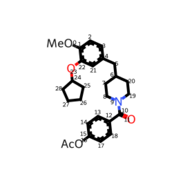 COc1ccc(CC2CCN(C(=O)c3ccc(OC(C)=O)cc3)CC2)cc1OC1CCCC1